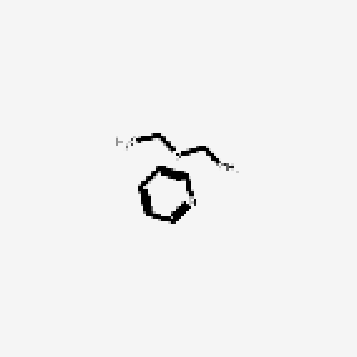 CCSCC.b1ccccc1